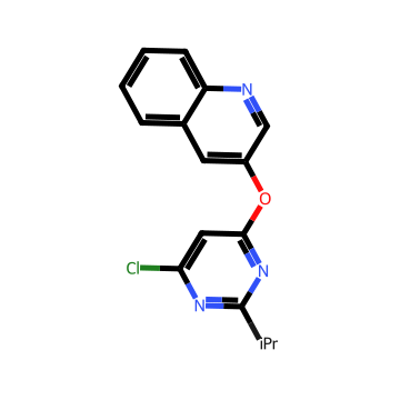 CC(C)c1nc(Cl)cc(Oc2cnc3ccccc3c2)n1